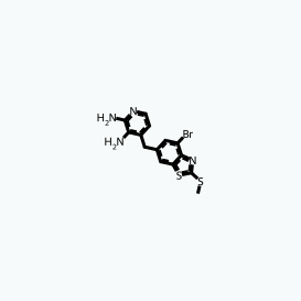 CSc1nc2c(Br)cc(Cc3ccnc(N)c3N)cc2s1